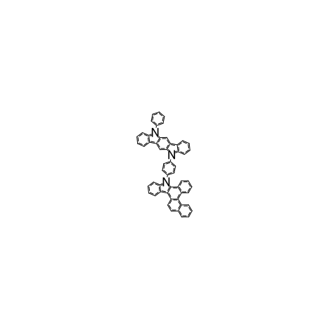 c1ccc(-n2c3ccccc3c3cc4c(cc32)c2ccccc2n4-c2ccc(-n3c4ccccc4c4c5ccc6ccccc6c5c5ccccc5c43)cc2)cc1